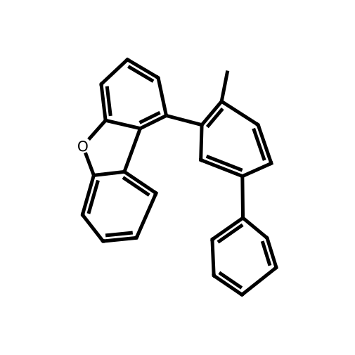 Cc1ccc(-c2ccccc2)cc1-c1cccc2oc3ccccc3c12